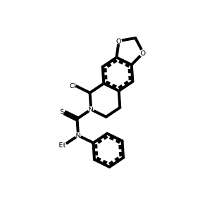 CCN(C(=S)N1CCc2cc3c(cc2C1Cl)OCO3)c1ccccc1